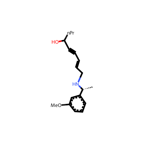 CCCC(O)C#C/C=C/CN[C@H](C)c1cccc(OC)c1